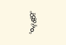 COc1ccc(C(C)(C)NC(=O)[C@H]2CC[C@H]3[C@@H]4CC=C5NC(=O)CC[C@]5(C)[C@H]4CC[C@]23C)cc1